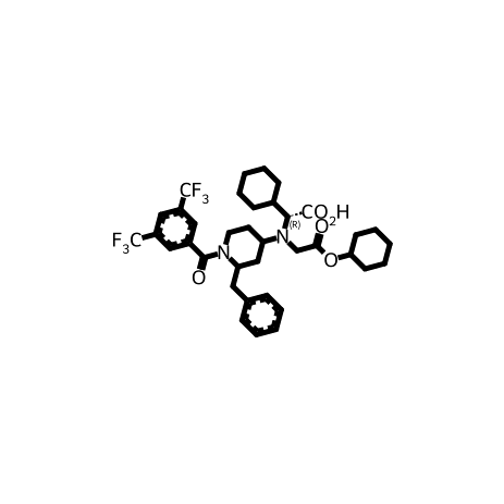 O=C(CN(C1CCN(C(=O)c2cc(C(F)(F)F)cc(C(F)(F)F)c2)C(Cc2ccccc2)C1)[C@@H](C(=O)O)C1CCCCC1)OC1CCCCC1